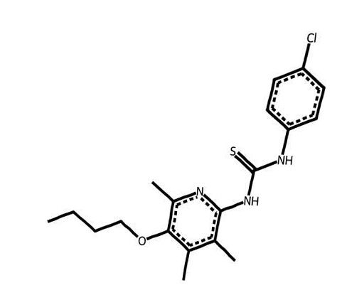 CCCCOc1c(C)nc(NC(=S)Nc2ccc(Cl)cc2)c(C)c1C